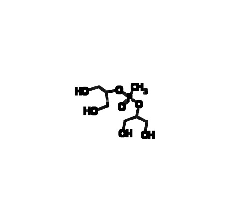 CP(=O)(OC(CO)CO)OC(CO)CO